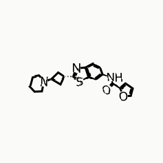 O=C(Nc1ccc2nc([C@H]3C[C@H](N4CCCCC4)C3)sc2c1)c1ccco1